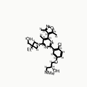 CCC1(CO)CN(c2nc(-c3cc(OC[C@H](O)CNC)ccc3Cl)nc(-c3c(C)noc3C)c2C)C1